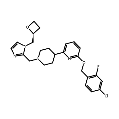 Fc1cc(Cl)ccc1COc1cccc(C2CCN(Cc3nc[c]n3C[C@@H]3CCO3)CC2)n1